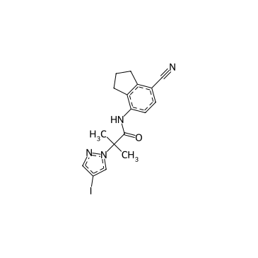 CC(C)(C(=O)Nc1ccc(C#N)c2c1CCC2)n1cc(I)cn1